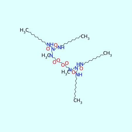 CCCCCCCCCCCCNC(=O)CN(CCN(C)CCC(=O)OCCOC(=O)CCN(C)CCN(CC(=O)NCCCCCCCCCCCC)CC(=O)NCCCCCCCCCCCC)CC(=O)NCCCCCCCCCCCC